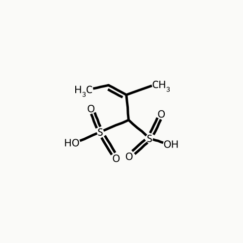 CC=C(C)C(S(=O)(=O)O)S(=O)(=O)O